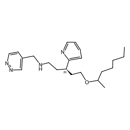 CCCCCC(C)OCC[C@@H](CCNCc1ccnnc1)c1ccccn1